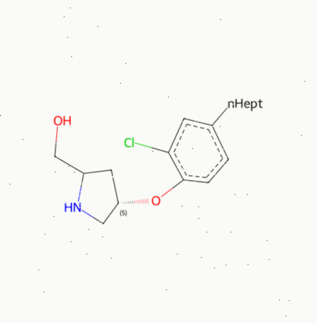 CCCCCCCc1ccc(O[C@@H]2CNC(CO)C2)c(Cl)c1